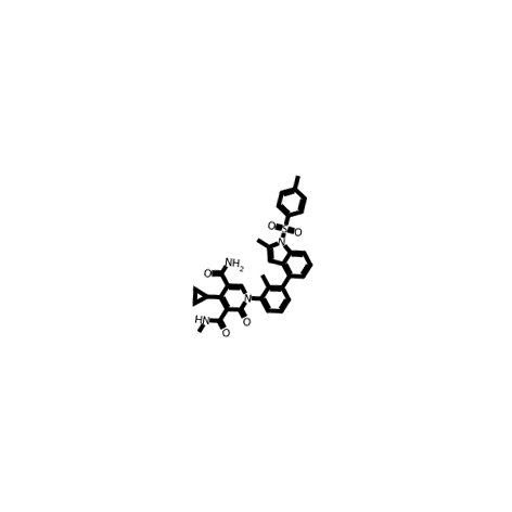 CNC(=O)c1c(C2CC2)c(C(N)=O)cn(-c2cccc(-c3cccc4c3cc(C)n4S(=O)(=O)c3ccc(C)cc3)c2C)c1=O